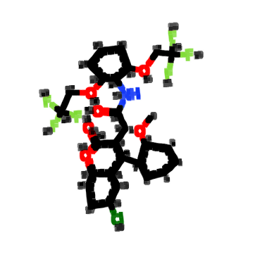 COc1ccccc1-c1c(CC(=O)Nc2c(OCC(F)(F)F)cccc2OCC(F)(F)F)c(=O)oc2ccc(Cl)cc12